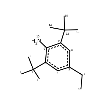 CCc1cc(C(C)(C)C)c(N)c(C(C)(C)C)c1